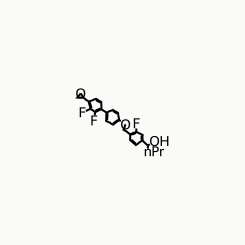 CCCC(O)c1ccc(COc2ccc(-c3ccc(C4CO4)c(F)c3F)cc2)c(F)c1